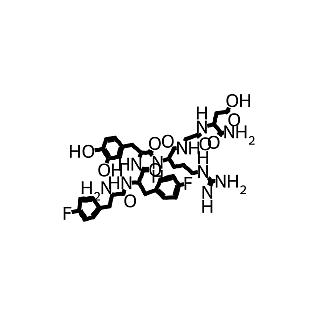 N=C(N)NCCCC(NC(=O)C(Cc1ccc(O)c(O)c1)NC(=O)C(Cc1ccc(F)cc1)NC(=O)C(N)Cc1ccc(F)cc1)C(=O)NCC(=O)NC(CC(=O)O)C(N)=O